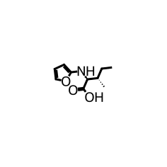 CC[C@H](C)[C@H](Nc1ccco1)C(=O)O